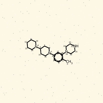 Cc1ccc(N2CCC(N3CCCCC3)CC2)cc1N1CCNCC1